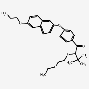 CCCOc1ccc2cc(Oc3ccc(C(=O)C(SCCOCC)C(C)(C)C)cc3)ccc2c1